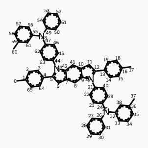 Cc1ccc(-c2cc3cc4c(cc(-c5ccc(C)cc5)n4-c4ccc(N(c5ccccc5)c5cccc(C)c5)cc4)cc3n2-c2ccc(N(c3ccccc3)c3cccc(C)c3)cc2)cc1